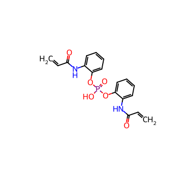 C=CC(=O)Nc1ccccc1OP(=O)(O)Oc1ccccc1NC(=O)C=C